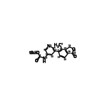 Cc1c(-c2cncc(NC(=O)OC(C)(C)C)c2)ccc2c1COC2=O